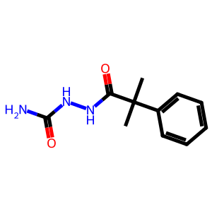 CC(C)(C(=O)NNC(N)=O)c1ccccc1